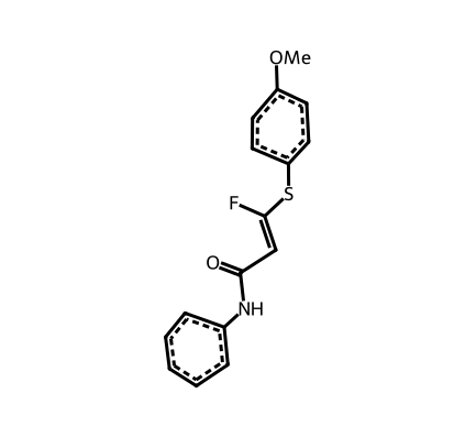 COc1ccc(SC(F)=CC(=O)Nc2ccccc2)cc1